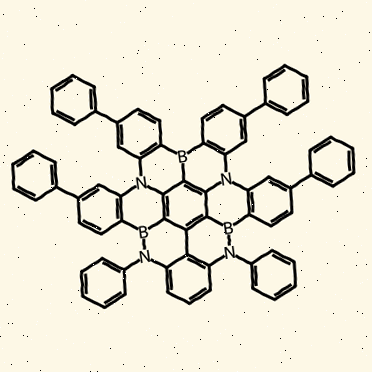 c1ccc(-c2ccc3c(c2)N2c4cc(-c5ccccc5)ccc4B4c5c6c7c8c(c52)B3c2ccc(-c3ccccc3)cc2N8c2cc(-c3ccccc3)ccc2B7N(c2ccccc2)c2cccc(c2-6)N4c2ccccc2)cc1